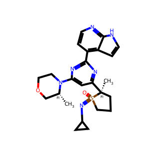 C[C@@H]1COCCN1c1cc([C@@]2(C)CCCS2(=O)=NC2CC2)nc(-c2ccnc3[nH]ccc23)n1